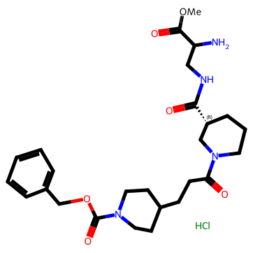 COC(=O)C(N)CNC(=O)[C@@H]1CCCN(C(=O)CCC2CCN(C(=O)OCc3ccccc3)CC2)C1.Cl